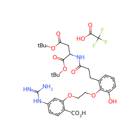 CC(C)(C)OC(=O)CC(NC(=O)CCc1cccc(O)c1OCCOc1cc(NC(=N)N)ccc1C(=O)O)C(=O)OC(C)(C)C.O=C(O)C(F)(F)F